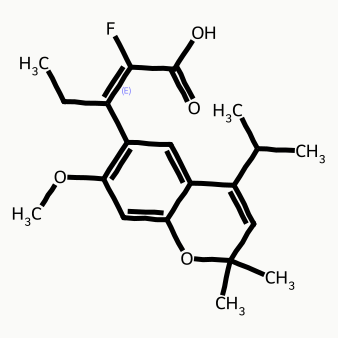 CC/C(=C(\F)C(=O)O)c1cc2c(cc1OC)OC(C)(C)C=C2C(C)C